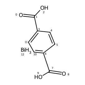 O=C(O)c1ccc(C(=O)O)cc1.[BiH3]